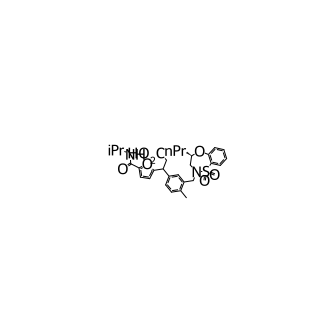 CCC[C@@H]1CN(Cc2cc(C(CC(=O)O)c3ccc(C(=O)NC(C)C)o3)ccc2C)S(=O)(=O)c2ccccc2O1